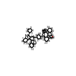 c1ccc(-c2nc3ccccc3c3c2cc(-c2ccc(N4c5ccccc5C5(c6ccccc6-c6ccccc65)c5ccccc54)cc2)c2oc4ccccc4c23)cc1